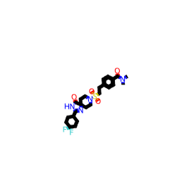 CN(C)C(=O)c1ccc(CCS(=O)(=O)N2CCC3(CC2)N=C(C2CCC(F)(F)CC2)NC3=O)cc1